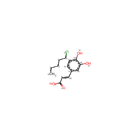 CCCCCCl.O=C(O)C=Cc1ccc(O)c(O)c1